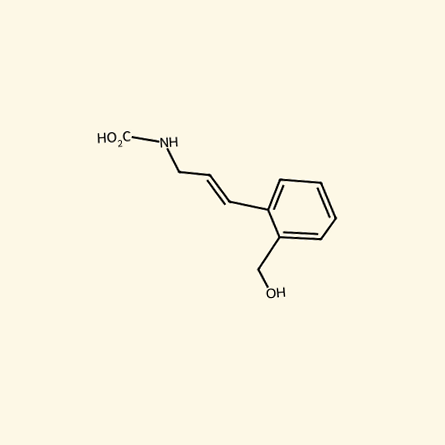 O=C(O)NC/C=C/c1ccccc1CO